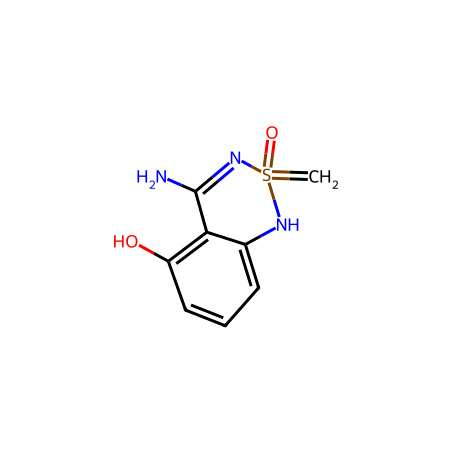 C=S1(=O)N=C(N)c2c(O)cccc2N1